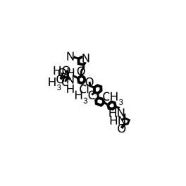 Cc1c(COc2cc(OCc3cncc(C#N)c3)c(CNC(C)(CO)C(=O)O)cc2Cl)cccc1-c1cccc(-c2ccc(CNCC3CCC(=O)N3)cc2)c1C